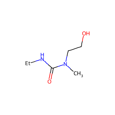 CCNC(=O)N(C)CCO